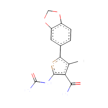 Cc1c(-c2ccc3c(c2)OCO3)sc(NC(N)=O)c1C(N)=O